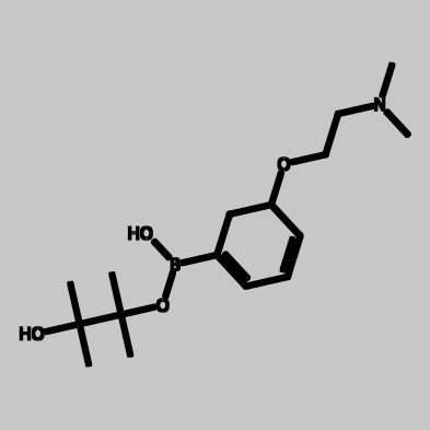 CN(C)CCOC1C=CC=C(B(O)OC(C)(C)C(C)(C)O)C1